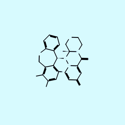 O=C1c2cc(=O)ccn2N([C@@H]2c3ccccc3[Se]Cc3c(F)c(F)cc(F)c32)[C@@H]2COCCN12